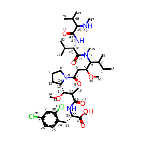 CCC(C)C(C(CC(=O)N1CCC[C@H]1C(OC)C(C)C(=O)N[C@@H](Cc1ccc(Cl)cc1Cl)C(=O)O)OC)N(C)C(=O)[C@@H](NC(=O)C(NC)C(C)C)C(C)C